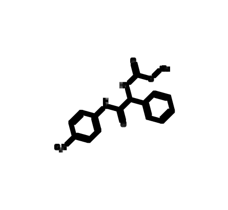 CC(C)(C)OC(=O)NC(C(=O)Nc1ccc([N+](=O)[O-])cc1)c1ccccc1